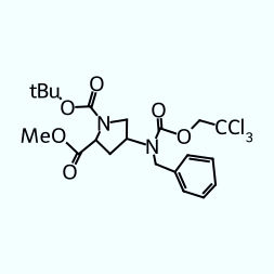 COC(=O)C1CC(N(Cc2ccccc2)C(=O)OCC(Cl)(Cl)Cl)CN1C(=O)OC(C)(C)C